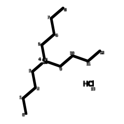 CCCC[Si](CCCC)CCCC.Cl